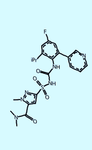 CC(C)c1cc(F)cc(-c2cccnc2)c1NC(=O)NS(=O)(=O)c1cc(C(=O)N(C)C)n(C)n1